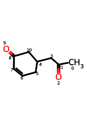 CC(=O)CC1CC=CC(=O)C1